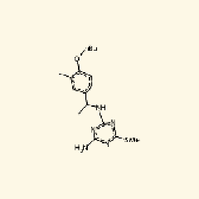 CCCCOc1ccc(C(C)Nc2nc(N)nc(SC)n2)cc1C